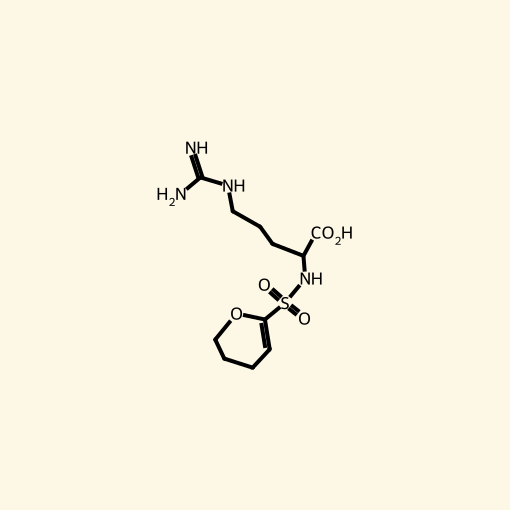 N=C(N)NCCCC(NS(=O)(=O)C1=CCCCO1)C(=O)O